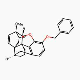 CO[C@]12C=C[C@@]3(CC1C(C)=O)[C@@H]1CCC[C@@]34c3c(ccc(OCc5ccccc5)c3O[C@H]42)C1